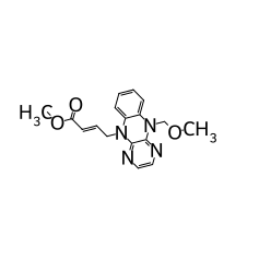 COCN1c2ccccc2N(CC=CC(=O)OC)c2nccnc21